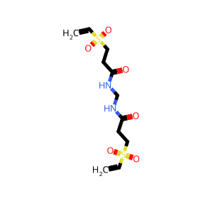 C=CS(=O)(=O)CCC(=O)NCNC(=O)CCS(=O)(=O)C=C